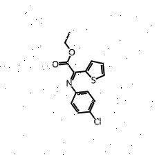 CCOC(=O)C(=Nc1ccc(Cl)cc1)c1cccs1